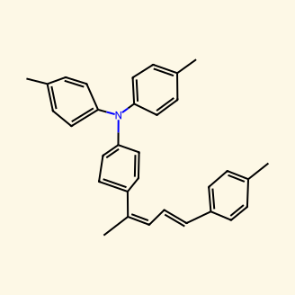 CC(=CC=Cc1ccc(C)cc1)c1ccc(N(c2ccc(C)cc2)c2ccc(C)cc2)cc1